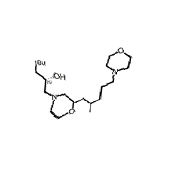 CC(CCCN1CCOCC1)CC1CN(C[C@@H](O)CC(C)(C)C)CCO1